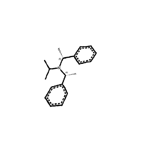 CC(C)N([C@H](C)c1ccccc1)[C@H](C)c1ccccc1